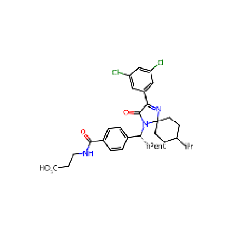 CCCCC[C@H](c1ccc(C(=O)NCCC(=O)O)cc1)N1C(=O)C(c2cc(Cl)cc(Cl)c2)=NC12CCC(C(C)C)CC2